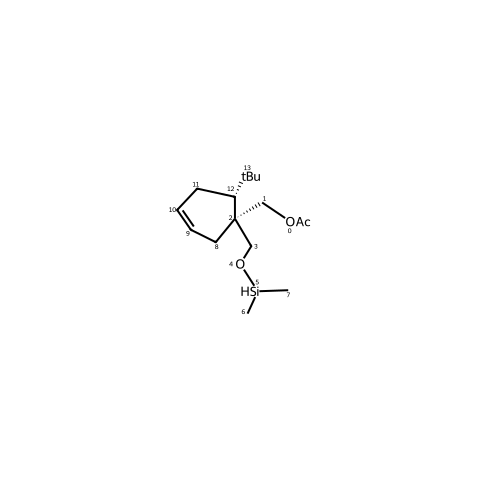 CC(=O)OC[C@]1(CO[SiH](C)C)CC=CC[C@@H]1C(C)(C)C